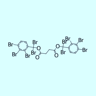 O=C(CCC(=O)OC(Br)(Br)c1ccc(Br)c(Br)c1Br)OC(Br)(Br)c1ccc(Br)c(Br)c1Br